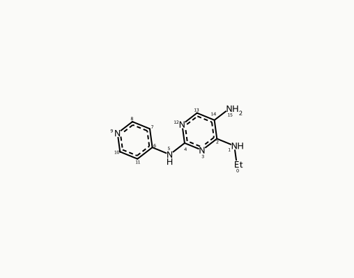 CCNc1nc(Nc2ccncc2)ncc1N